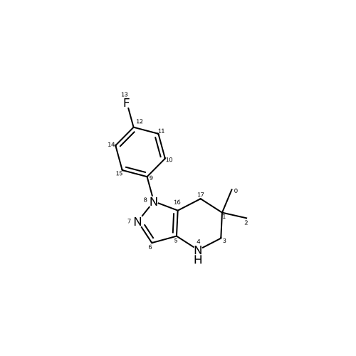 CC1(C)CNc2cnn(-c3ccc(F)cc3)c2C1